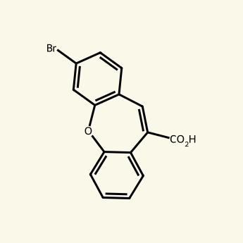 O=C(O)C1=Cc2ccc(Br)cc2Oc2ccccc21